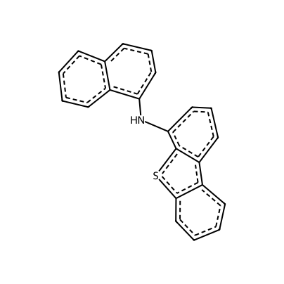 c1ccc2c(Nc3cccc4c3sc3ccccc34)cccc2c1